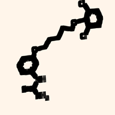 NC(=S)Nc1cccc(OCCCCCOc2c(Cl)cccc2Cl)c1